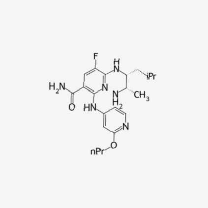 CCCOc1cc(Nc2nc(N[C@H](CC(C)C)[C@H](C)N)c(F)cc2C(N)=O)ccn1